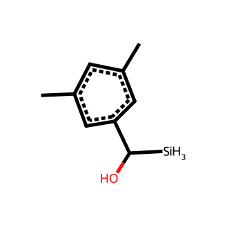 Cc1cc(C)cc(C(O)[SiH3])c1